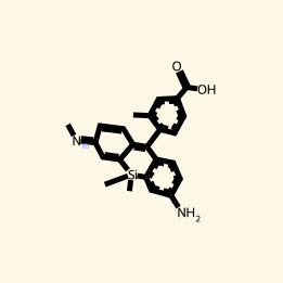 C/N=C1\C=CC2=C(c3ccc(C(=O)O)cc3C)c3ccc(N)cc3[Si](C)(C)C2=C1